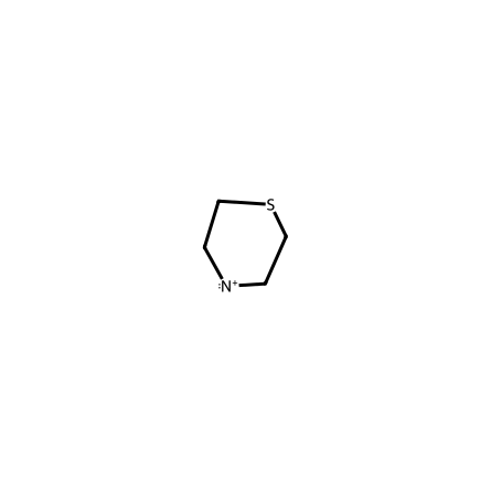 C1CSCC[N+]1